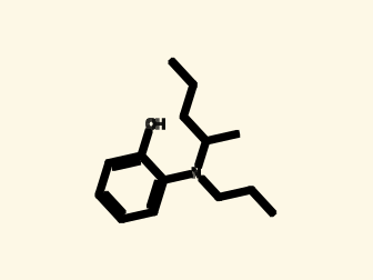 CCCC(C)N(CCC)c1ccccc1O